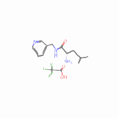 CC(C)C[C@H](N)C(=O)NCc1cccnc1.O=C(O)C(F)(F)F